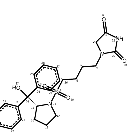 O=C1CN(CCCCS(=O)(=O)N2CCC[C@@H]2C(O)(c2ccccc2)c2ccccc2)C(=O)N1